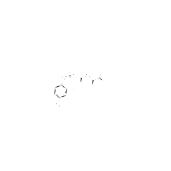 C=C(C)C(=O)NC(=O)OC(C)(C)Nc1ccc([N+](=O)[O-])cc1